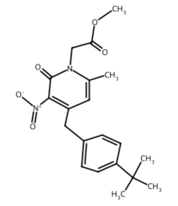 COC(=O)Cn1c(C)cc(Cc2ccc(C(C)(C)C)cc2)c([N+](=O)[O-])c1=O